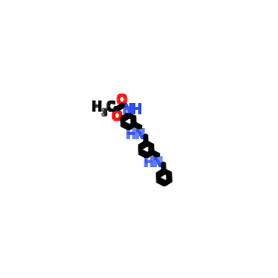 CC1Oc2ccc(CNCc3cccc(CNCc4ccccc4)c3)cc2NC1=O